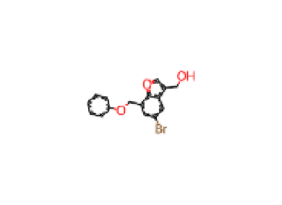 OCc1coc2c(COc3ccccc3)cc(Br)cc12